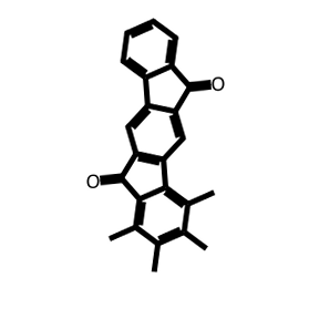 Cc1c(C)c(C)c2c(c1C)c(=O)c1cc3c(cc12)c(=O)c1ccccc13